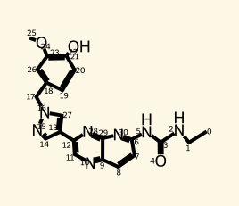 CCNC(=O)Nc1ccc2ncc(-c3cnn(Cc4ccc(O)c(OC)c4)c3)nc2n1